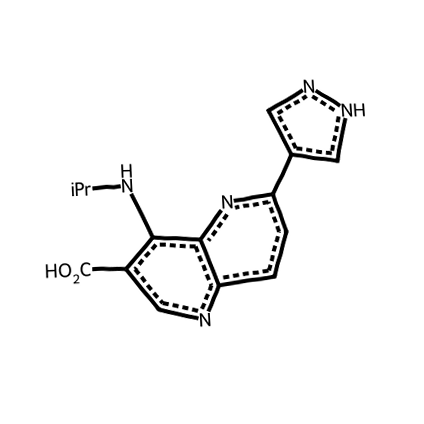 CC(C)Nc1c(C(=O)O)cnc2ccc(-c3cn[nH]c3)nc12